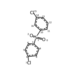 O=S(=O)(c1ccc(Cl)cc1)c1cccc(Cl)c1